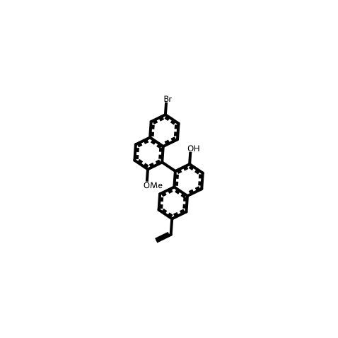 C=Cc1ccc2c(-c3c(OC)ccc4cc(Br)ccc34)c(O)ccc2c1